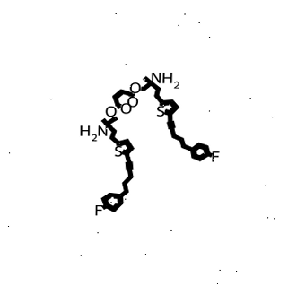 CC(N)(CCc1ccc(C#CCCCc2ccc(F)cc2)s1)COC(=O)/C=C\C(=O)OCC(C)(N)CCc1ccc(C#CCCCc2ccc(F)cc2)s1